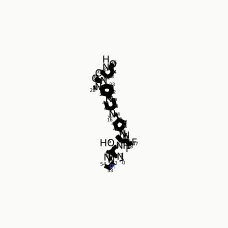 C=Nc1c(C(O)Nc2cn([C@H]3CC[C@H](CN(C)C4CCN(c5ccc6c(c5)n(C)c(=O)n6C5CCC(=O)NC5=O)CC4)CC3)nc2C(F)F)cnn1/C=C\C